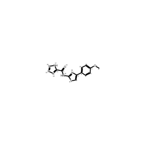 COc1ccc(-c2csc(NC(=O)c3nnn[nH]3)n2)cc1